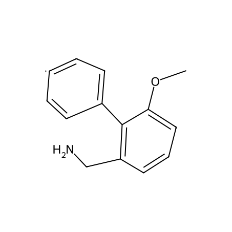 COc1cccc(CN)c1-c1cc[c]cc1